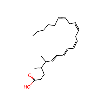 CCCCC/C=C\C/C=C\C\C=C/C=C/C=C/C(C)C(C)CCC(=O)O